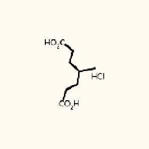 CC(CCC(=O)O)CCC(=O)O.Cl